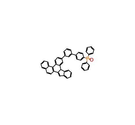 O=P(c1ccccc1)(c1ccccc1)c1ccc(-c2cccc(-c3ccc4c(c3)C3C(=Cc5ccccc53)c3ccc5ccccc5c3-4)c2)cc1